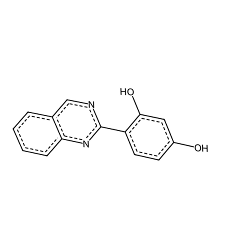 Oc1ccc(-c2ncc3ccccc3n2)c(O)c1